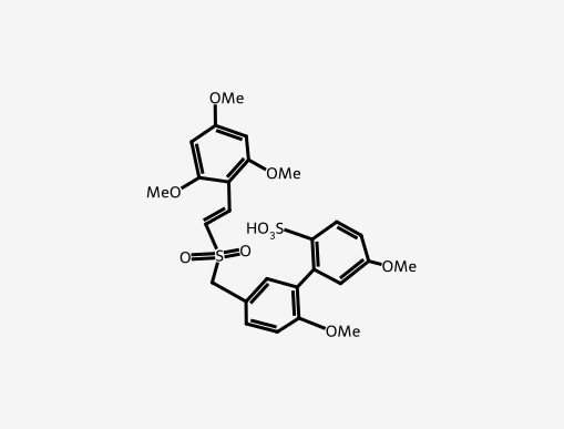 COc1cc(OC)c(C=CS(=O)(=O)Cc2ccc(OC)c(-c3cc(OC)ccc3S(=O)(=O)O)c2)c(OC)c1